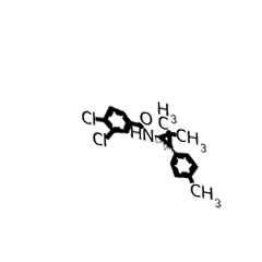 Cc1ccc([C@H]2[C@H](NC(=O)c3ccc(Cl)c(Cl)c3)C2(C)C)cc1